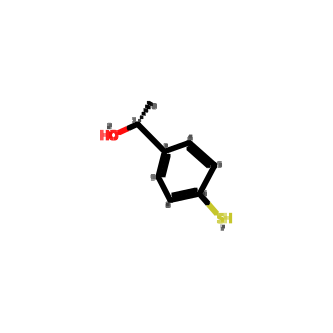 C[C@@H](O)c1ccc(S)cc1